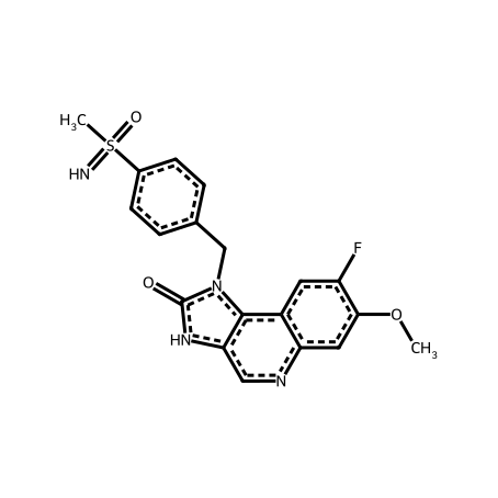 COc1cc2ncc3[nH]c(=O)n(Cc4ccc(S(C)(=N)=O)cc4)c3c2cc1F